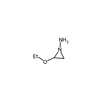 CCOC1CN1N